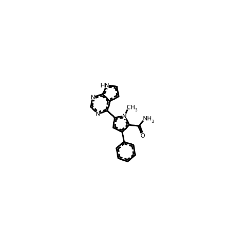 Cn1c(-c2ncnc3[nH]ccc23)cc(-c2ccccc2)c1C(N)=O